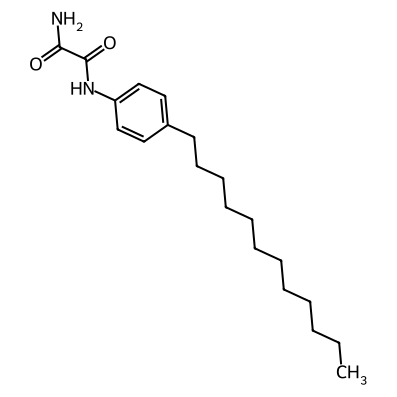 CCCCCCCCCCCCc1ccc(NC(=O)C(N)=O)cc1